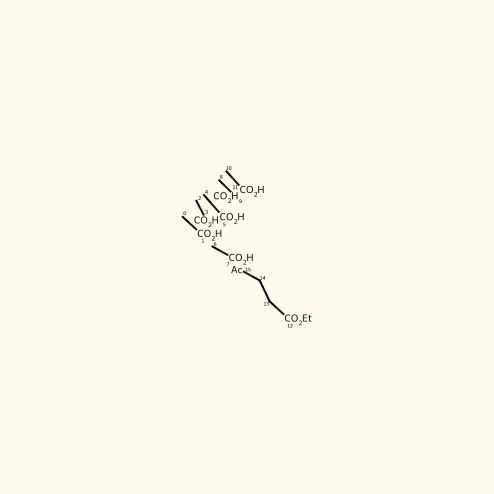 CC(=O)O.CC(=O)O.CC(=O)O.CC(=O)O.CC(=O)O.CC(=O)O.CCOC(=O)CCC(C)=O